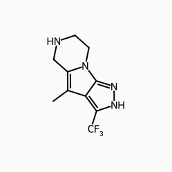 Cc1c2n(c3n[nH]c(C(F)(F)F)c13)CCNC2